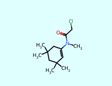 CN(C(=O)CCl)C1=CC(C)(C)CC(C)(C)C1